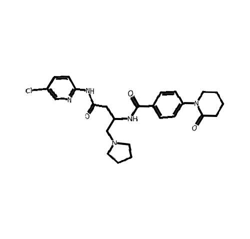 O=C(CC(CN1CCCC1)NC(=O)c1ccc(N2CCCCC2=O)cc1)Nc1ccc(Cl)cn1